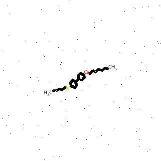 CCCCCCCCOc1ccc(-c2ccc(SCCCCCC)cc2)cc1